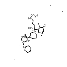 CNC[C@H](C[C@H]1CCCOC1)NC(=O)N1CCC[C@@H]([C@@](O)(CCCNC(=O)O)c2cccc(Cl)c2F)C1